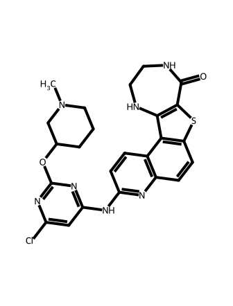 CN1CCCC(Oc2nc(Cl)cc(Nc3ccc4c(ccc5sc6c(c54)NCCNC6=O)n3)n2)C1